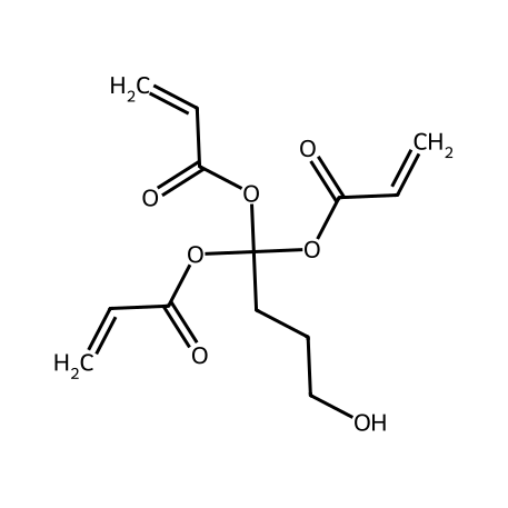 C=CC(=O)OC(CCCO)(OC(=O)C=C)OC(=O)C=C